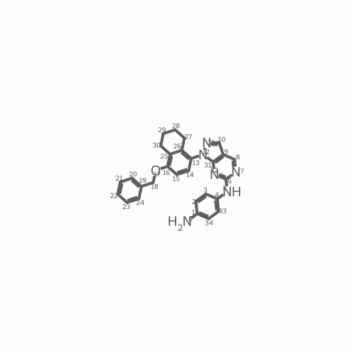 Nc1ccc(Nc2ncc3cnn(-c4ccc(OCc5ccccc5)c5c4CCCC5)c3n2)cc1